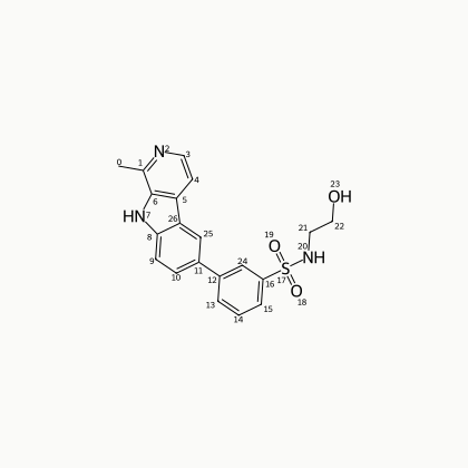 Cc1nccc2c1[nH]c1ccc(-c3cccc(S(=O)(=O)NCCO)c3)cc12